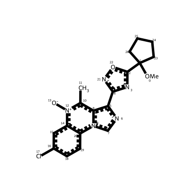 COC1(c2nc(-c3ncn4c3c(C)[n+]([O-])c3cc(Cl)ccc34)no2)CCCC1